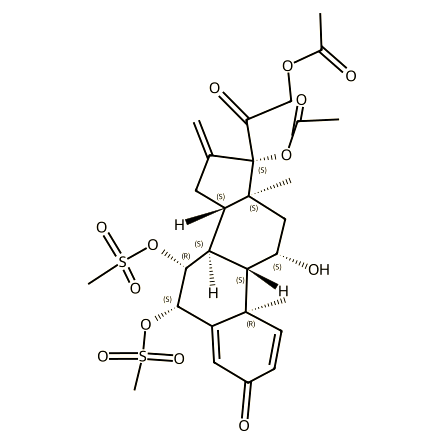 C=C1C[C@H]2[C@@H]3[C@@H](OS(C)(=O)=O)[C@@H](OS(C)(=O)=O)C4=CC(=O)C=C[C@]4(C)[C@H]3[C@@H](O)C[C@]2(C)[C@]1(OC(C)=O)C(=O)COC(C)=O